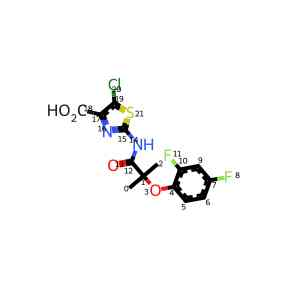 CC(C)(Oc1ccc(F)cc1F)C(=O)Nc1nc(C(=O)O)c(Cl)s1